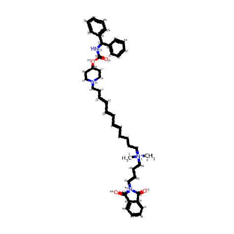 C[N+](C)(CCCCCCCCCCCCN1CCC(OC(=O)NC(c2ccccc2)c2ccccc2)CC1)CCCCN1C(=O)c2ccccc2C1=O